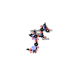 C=CCOC(=O)N[C@H](C(=O)N[C@@H](C)C(=O)Nc1ccc(COC(=O)Nc2cc(OCc3cc(C(=O)OC)cc(COc4cc5c(cc4OC)C(=O)N4CC(=C)C[C@H]4[C@H](OC4CCCCO4)N5C(=O)O)n3)c(OC)cc2C(=O)N2CC(=C)C[C@H]2CO[Si](C)(C)C(C)(C)C)cc1)C(C)C